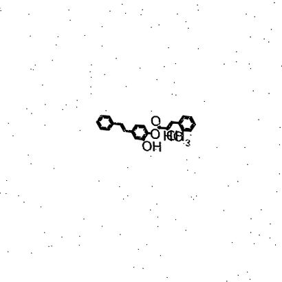 CC(=Cc1ccccc1O)C(=O)Oc1ccc(C=Cc2ccccc2)cc1O